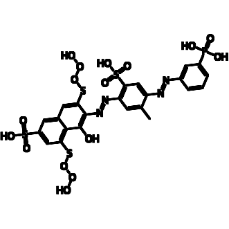 Cc1cc(/N=N/c2c(SOOO)cc3cc(S(=O)(=O)O)cc(SOOO)c3c2O)c(S(=O)(=O)O)cc1/N=N/c1cccc(P(=O)(O)O)c1